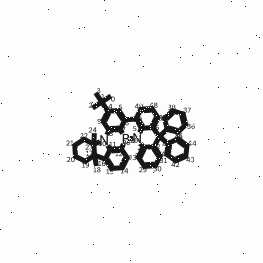 CC(C)(C)c1cc2c3c(c1)N1c4c(cccc4C4(C)CCCCC14C)B3N1c3ccccc3C(c3ccccc3)(c3ccccc3)c3cccc-2c31